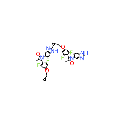 CC1C(=O)N(c2ccc3[nH]c(C4CC4CCOc4cc(F)c(C5[C@H](C)C(=O)N5c5ccc6[nH]cnc6c5)c(F)c4)nc3c2)C1c1c(F)cc(OCCC2CC2)cc1F